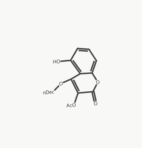 CCCCCCCCCCOc1c(OC(C)=O)c(=O)oc2cccc(O)c12